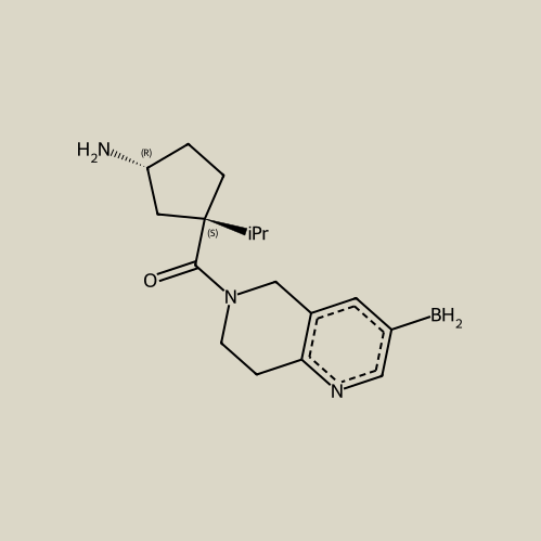 Bc1cnc2c(c1)CN(C(=O)[C@@]1(C(C)C)CC[C@@H](N)C1)CC2